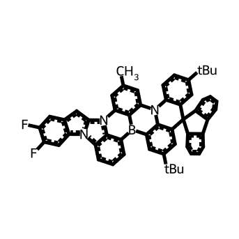 Cc1cc2c3c(c1)-n1c4c(cccc4n4c5cc(F)c(F)cc5cc14)B3c1cc(C(C)(C)C)cc3c1N2c1ccc(C(C)(C)C)cc1C31c2ccccc2-c2ccccc21